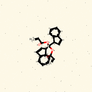 C=CC(=O)[O][Ti]([O]C(=O)C=C)([CH]1C=Cc2ccccc21)[CH]1C=Cc2ccccc21